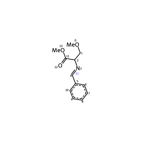 COCC(/N=C/c1ccccc1)C(=O)OC